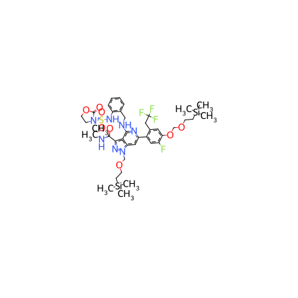 CNC(=O)c1nn(COCC[Si](C)(C)C)c2cc(-c3cc(F)c(OCOCC[Si](C)(C)C)cc3CC(F)(F)F)nc(NCc3ccccc3NS(=O)(=O)[N+]3(C)CCOC3=O)c12